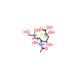 CC(=O)N[C@H]1[C@H]([C@H](O)[C@H](O)CO)S[C@](O)(C(=O)O)C[C@@H]1O